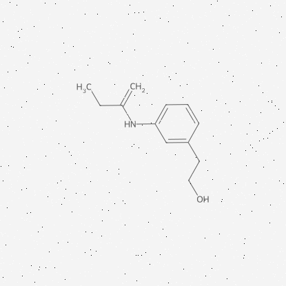 C=C(CC)Nc1cccc(CCO)c1